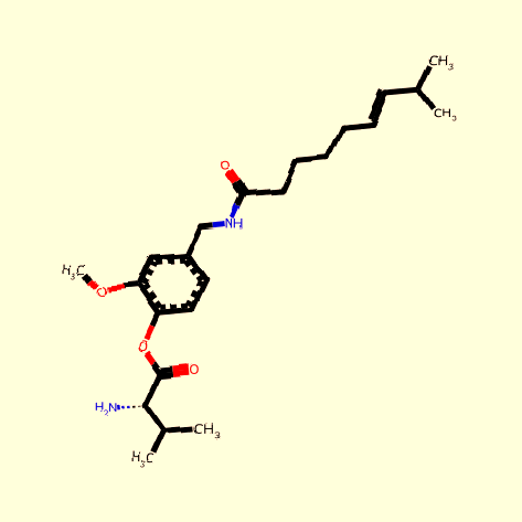 COc1cc(CNC(=O)CCCC/C=C/C(C)C)ccc1OC(=O)[C@@H](N)C(C)C